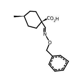 C[C@H]1CC[C@@](C=NOCc2ccccc2)(C(=O)O)CC1